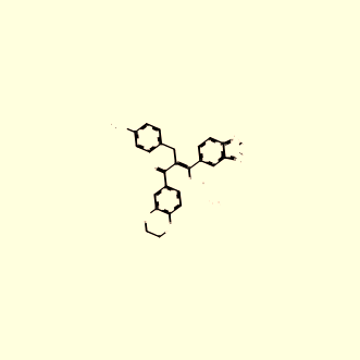 N#Cc1ccc(CC(C(=O)c2ccc3c(c2)OCCO3)=C(C(=O)[O-])c2ccc3nsnc3c2)cc1.[Na+]